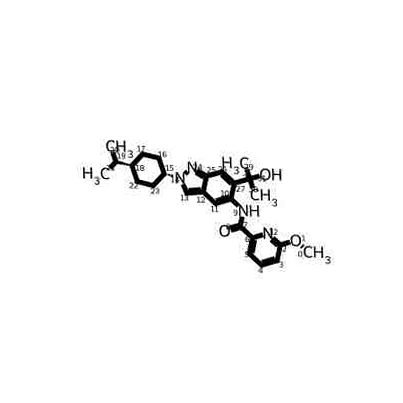 COc1cccc(C(=O)Nc2cc3cn([C@H]4CC[C@H](C(C)C)CC4)nc3cc2C(C)(C)O)n1